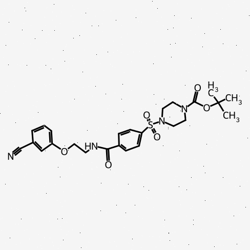 CC(C)(C)OC(=O)N1CCN(S(=O)(=O)c2ccc(C(=O)NCCOc3cccc(C#N)c3)cc2)CC1